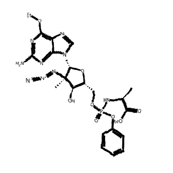 CCOc1nc(N)nc2c1ncn2[C@@H]1O[C@H](COP(=O)(N[C@@H](C)C(=O)OC)Oc2ccccc2)[C@@H](O)[C@@]1(C)N=[N+]=[N-]